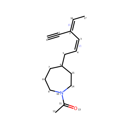 C#CC(/C=C\CC1CCCN(C(C)=O)CC1)=C/C